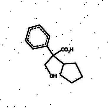 O=C(O)C(CO)(c1ccccc1)C1CCCC1